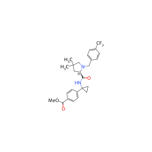 COC(=O)c1ccc(C2(NC(=O)[C@H]3CC(C)(C)CN3Cc3ccc(C(F)(F)F)cc3)CC2)cc1